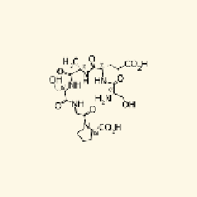 C[C@H](NC(=O)[C@H](CCC(=O)O)NC(=O)[C@@H](N)CO)C(=O)N[C@@H](CO)C(=O)NCC(=O)N1CCC[C@H]1C(=O)O